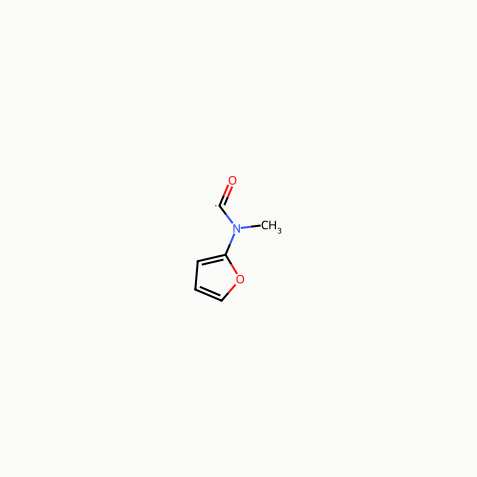 CN([C]=O)c1ccco1